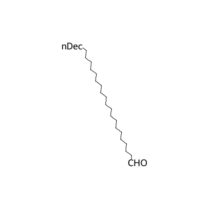 CCCCCCCCCCCCCCCCCCCCCCCCCCCCCC=O